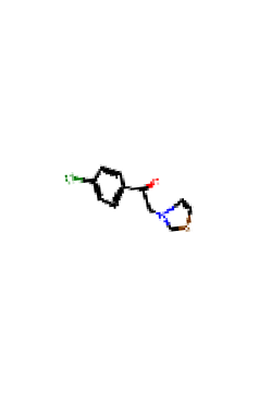 O=C(CN1C=CSC1)c1ccc(Cl)cc1